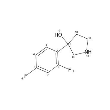 OC1(c2ccc(F)cc2F)CCNC1